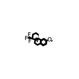 COc1ccc2c(c1)[C@]13CCCC[C@@]1(CC2)N(C(F)(F)F)CC3